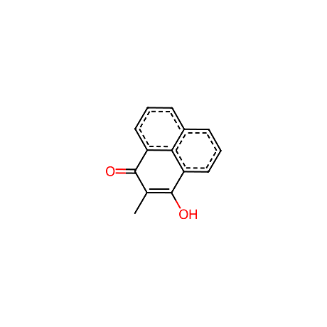 CC1=C(O)c2cccc3cccc(c23)C1=O